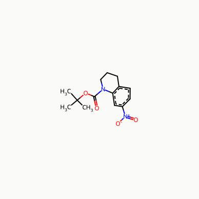 CC(C)(C)OC(=O)N1CCCc2ccc([N+](=O)[O-])cc21